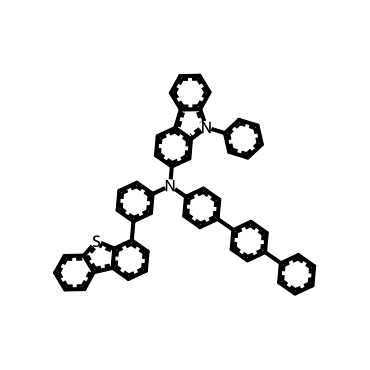 c1ccc(-c2ccc(-c3ccc(N(c4cccc(-c5cccc6c5sc5ccccc56)c4)c4ccc5c6ccccc6n(-c6ccccc6)c5c4)cc3)cc2)cc1